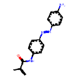 C=C(C)C(=O)Nc1ccc(N=Nc2ccc(N)cc2)cc1